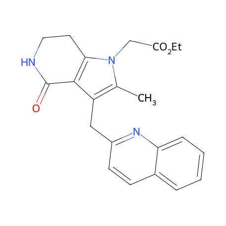 CCOC(=O)Cn1c(C)c(Cc2ccc3ccccc3n2)c2c1CCNC2=O